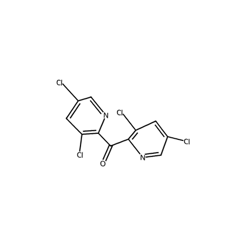 O=C(c1ncc(Cl)cc1Cl)c1ncc(Cl)cc1Cl